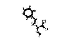 C=CC([Se]Cc1ccccc1)C(=O)Cl